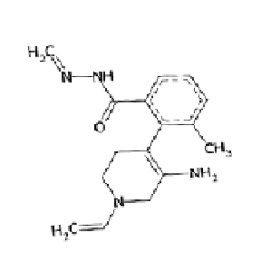 C=CN1CCC(c2c(C)cccc2C(=O)NN=C)=C(N)C1